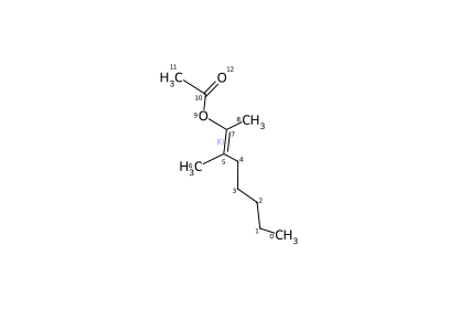 CCCCC/C(C)=C(\C)OC(C)=O